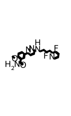 COc1ccc(-c2ccc(NCC[C@H](F)Cc3ncccc3F)nn2)cc1C(N)=O